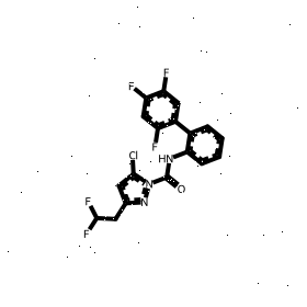 O=C(Nc1ccccc1-c1cc(F)c(F)cc1F)n1nc(CC(F)F)[c]c1Cl